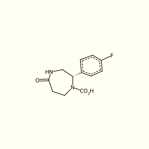 O=C1CCN(C(=O)O)[C@@H](c2ccc(F)cc2)CN1